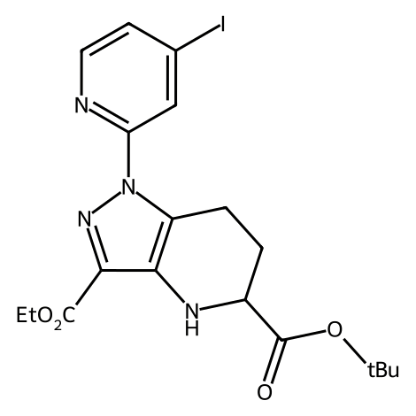 CCOC(=O)c1nn(-c2cc(I)ccn2)c2c1NC(C(=O)OC(C)(C)C)CC2